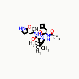 CC1(C)C2=CN(C(=O)[C@H](CC3CCC3)NC(=O)C(F)(F)F)[C@H](C(=O)N[C@H](C#N)C[C@@H]3CCNC3=O)C21C